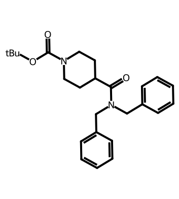 CC(C)(C)OC(=O)N1CCC(C(=O)N(Cc2ccccc2)Cc2ccccc2)CC1